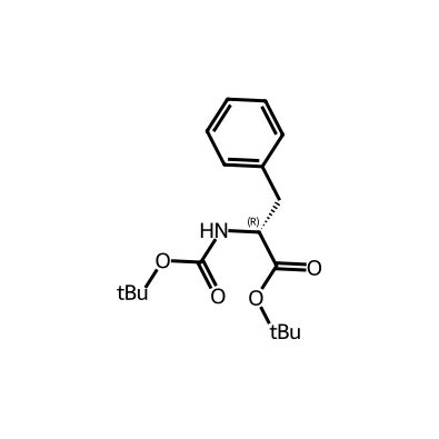 CC(C)(C)OC(=O)N[C@H](Cc1ccccc1)C(=O)OC(C)(C)C